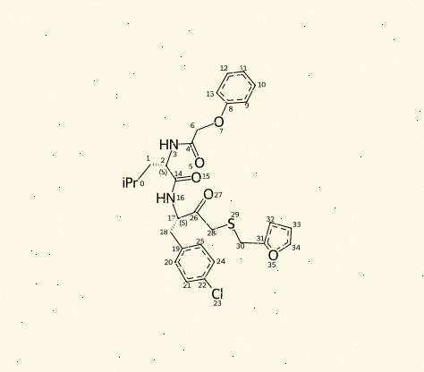 CC(C)C[C@H](NC(=O)COc1ccccc1)C(=O)N[C@@H](Cc1ccc(Cl)cc1)C(=O)CSCc1ccco1